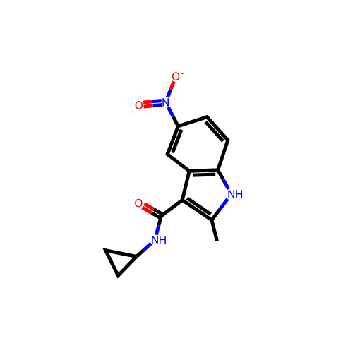 Cc1[nH]c2ccc([N+](=O)[O-])cc2c1C(=O)NC1CC1